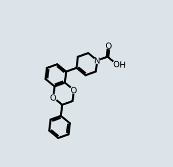 O=C(O)N1CC=C(c2cccc3c2OCC(c2ccccc2)O3)CC1